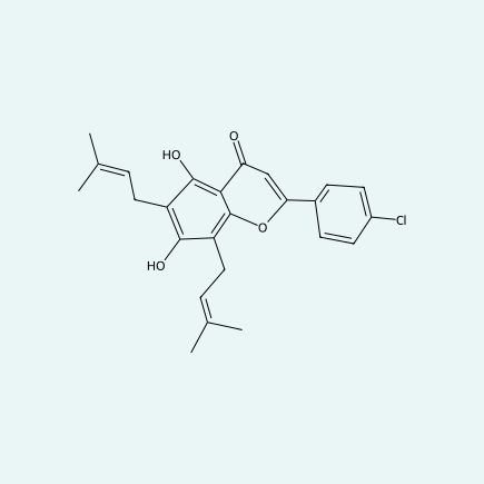 CC(C)=CCc1c(O)c(CC=C(C)C)c2oc(-c3ccc(Cl)cc3)cc(=O)c2c1O